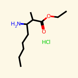 CCCCCC(N)C(C)C(=O)OCC.Cl